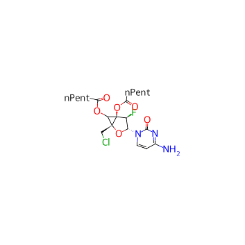 CCCCCC(=O)OC1[C@@]2(CCl)O[C@@H](n3ccc(N)nc3=O)[C@H](F)[C@@]12OC(=O)CCCCC